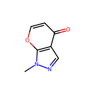 Cn1ncc2c(=O)ccoc21